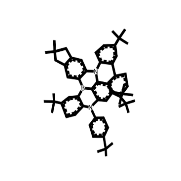 CC1(C)Cc2cc3c(cc2C1)N(c1ccc(C(C)(C)C)cc1-c1ccc(C(C)(C)C)cc1)c1cc(C(C)(C)C)cc2c1B3c1cc(C(C)(C)C)ccc1N2c1ccc(C(C)(C)C)cc1